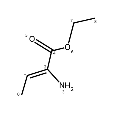 CC=C(N)C(=O)OCC